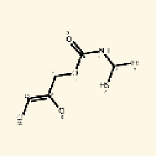 CCC(S)NC(=O)OCC(Cl)=CCl